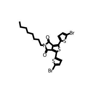 CCCCCCCCN1C(=O)c2c(-c3ccc(Br)s3)sc(-c3ccc(Br)s3)c2C1=O